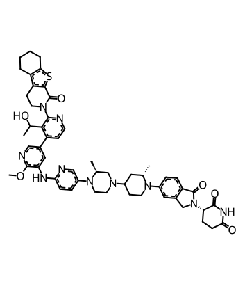 COc1ncc(-c2ccnc(N3CCc4c(sc5c4CCCC5)C3=O)c2C(C)O)cc1Nc1ccc(N2CCN(C3CCN(c4ccc5c(c4)CN([C@H]4CCC(=O)NC4=O)C5=O)[C@@H](C)C3)C[C@@H]2C)cn1